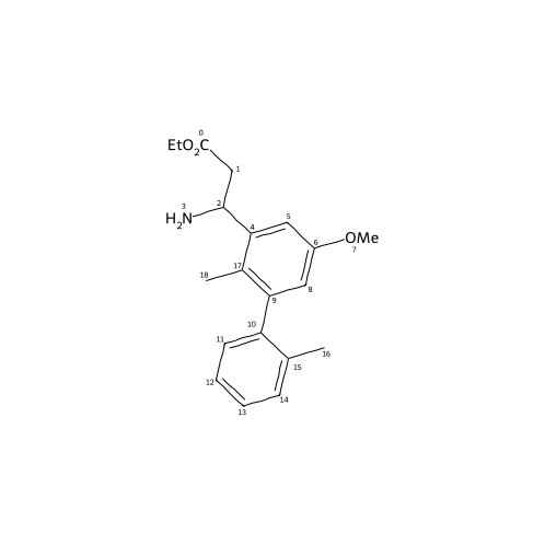 CCOC(=O)CC(N)c1cc(OC)cc(-c2ccccc2C)c1C